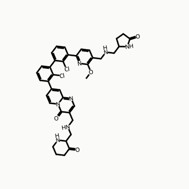 COc1nc(-c2cccc(-c3cccc(-c4ccn5c(=O)c(CNCC6NCCCC6=O)cnc5c4)c3Cl)c2Cl)ccc1CNCC1CCC(=O)N1